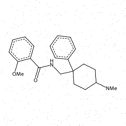 CNC1CCC(CNC(=O)c2ccccc2OC)(c2ccccc2)CC1